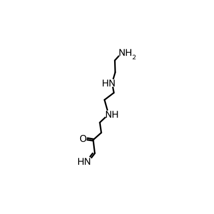 N=CC(=O)CCNCCNCCN